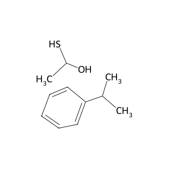 CC(C)c1ccccc1.CC(O)S